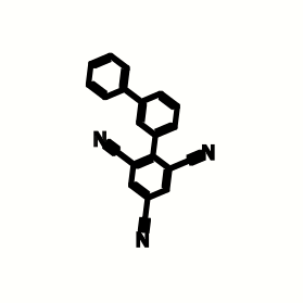 N#Cc1cc(C#N)c(-c2cccc(-c3ccccc3)c2)c(C#N)c1